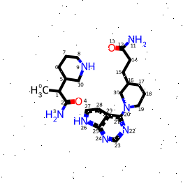 CC(C(N)=O)C1CCCNC1.NC(=O)CCC1CCCN(c2ncnc3[nH]ccc23)C1